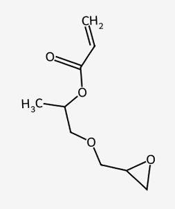 C=CC(=O)OC(C)COCC1CO1